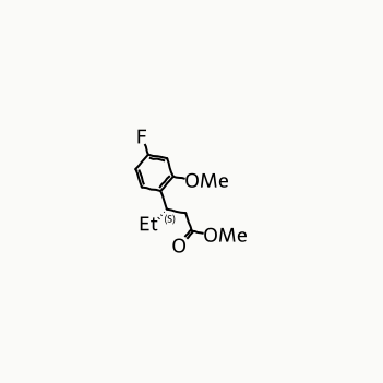 CC[C@@H](CC(=O)OC)c1ccc(F)cc1OC